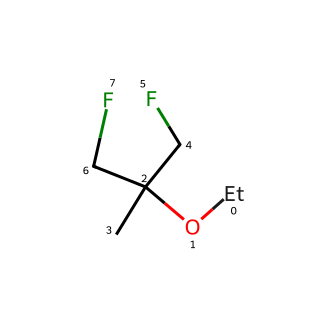 CCOC(C)(CF)CF